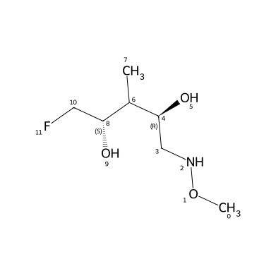 CONC[C@H](O)C(C)[C@H](O)CF